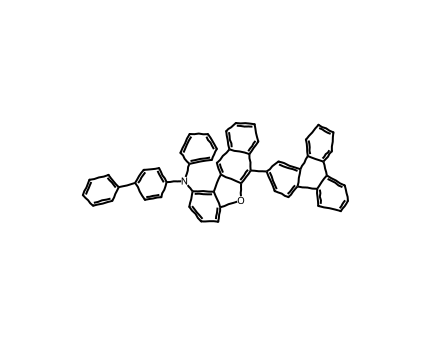 c1ccc(-c2ccc(N(c3ccccc3)c3cccc4oc5c(-c6ccc7c8ccccc8c8ccccc8c7c6)c6ccccc6cc5c34)cc2)cc1